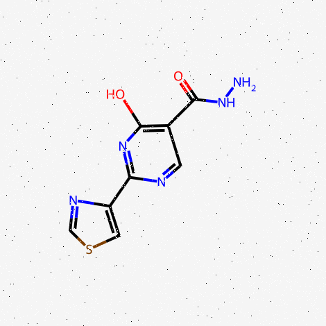 NNC(=O)c1cnc(-c2cscn2)nc1O